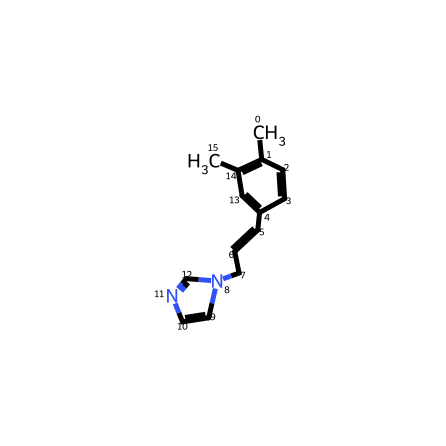 Cc1ccc(C=CCn2ccnc2)cc1C